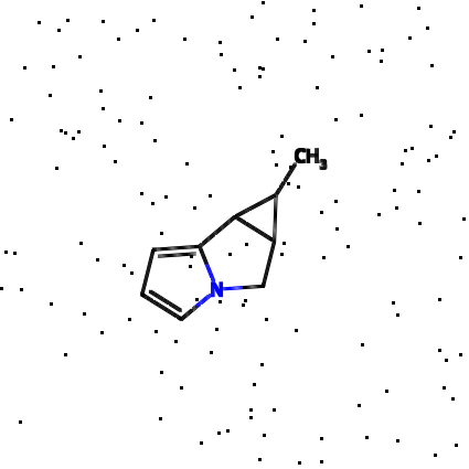 CC1C2Cn3cccc3C12